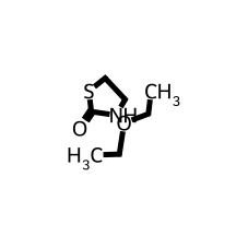 CCOCC.O=C1NCCS1